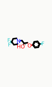 O[C@@H](COc1ccc(F)cc1)CN1CCC(F)(F)CC1